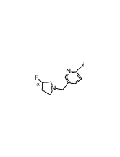 F[C@@H]1CCN(Cc2ccc(I)nc2)C1